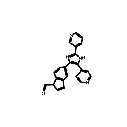 O=CC1C=Cc2cc(-c3nc(-c4cccnc4)[nH]c3-c3ccncc3)ccc21